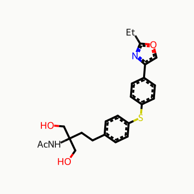 CCc1nc(-c2ccc(Sc3ccc(CCC(CO)(CO)NC(C)=O)cc3)cc2)co1